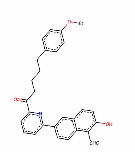 CCOc1ccc(CCCCC(=O)c2cccc(-c3ccc4c(C=O)c(O)ccc4c3)n2)cc1